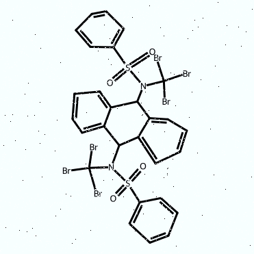 O=S(=O)(c1ccccc1)N(C1c2ccccc2C(N(C(Br)(Br)Br)S(=O)(=O)c2ccccc2)c2ccccc21)C(Br)(Br)Br